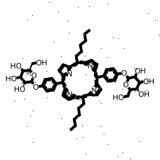 CCCCCCc1c2nc(c(-c3ccc(OC4O[C@H](CO)C(O)C(O)[C@H]4O)cc3)c3ccc([nH]3)c(CCCCCC)c3nc(c(-c4ccc(OC5OC(CO)[C@H](O)C(O)C5O)cc4)c4ccc1[nH]4)C=C3)C=C2